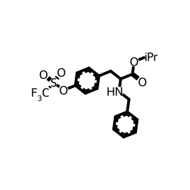 CC(C)OC(=O)C(Cc1ccc(OS(=O)(=O)C(F)(F)F)cc1)NCc1ccccc1